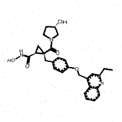 CCc1cc(COc2ccc(C[C@]3(C(=O)N4CC[C@H](O)C4)C[C@@H]3C(=O)NO)cc2)c2ccccc2n1